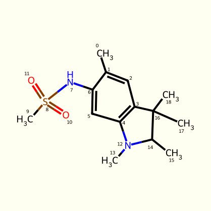 Cc1cc2c(cc1NS(C)(=O)=O)N(C)C(C)C2(C)C